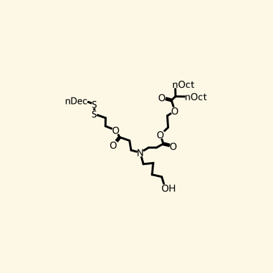 CCCCCCCCCCSSCCOC(=O)CCN(CCCCO)CCC(=O)OCCOC(=O)C(CCCCCCCC)CCCCCCCC